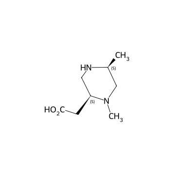 C[C@H]1CN(C)[C@@H](CC(=O)O)CN1